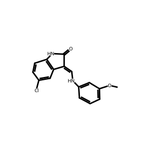 COc1cccc(N/C=C2/C(=O)Nc3ccc(Cl)cc32)c1